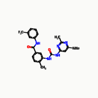 CNc1cc(NC(=O)Nc2cc(C(=O)Nc3cccc(C(F)(F)F)c3)ccc2C)nc(C)n1